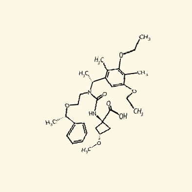 CCOc1cc([C@@H](C)N(CCO[C@@H](C)c2ccccc2)C(=O)N[C@]2(C(=O)O)C[C@@H](OC)C2)c(C)c(OCC)c1C